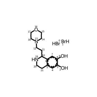 Br.Br.Oc1cc2c(cc1O)C(CCN1CCOCC1)NCC2